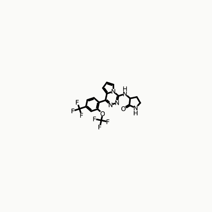 O=C1NCCC1Nc1nnc(-c2ccc(C(F)(F)F)cc2OC(F)(F)F)c2cccn12